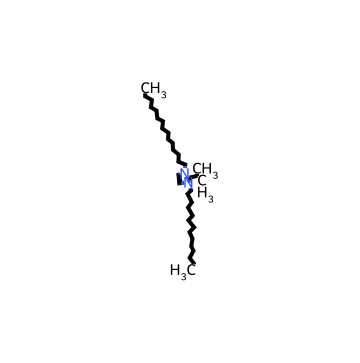 CCCCCCCCCCCCCCCN1C=CN(CCCCCCCCCCCCCC)C1C(C)C